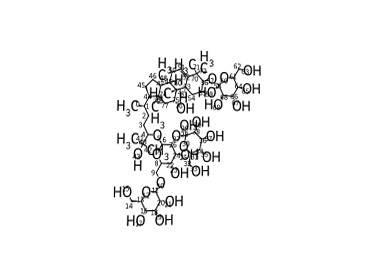 C[C@H](CCC(O[C@@H]1OC(CO[C@@H]2O[C@H](CO)[C@@H](O)[C@H](O)[C@H]2O)[C@@H](O)[C@H](O)[C@H]1O[C@]1(O)O[C@H](CO)[C@@H](O)[C@H](O)[C@H]1O)C(C)(C)O)[C@H]1CC[C@@]2(C)[C@@H]3CC=C4[C@@H](CC[C@H](O[C@]5(O)OC(CO)[C@@H](O)[C@H](O)[C@H]5O)C4(C)C)[C@]3(C)[C@H](O)C[C@]12C